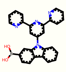 OB(O)c1ccc2c3ccccc3n(-c3cc(-c4ccccn4)nc(-c4ccccn4)c3)c2c1